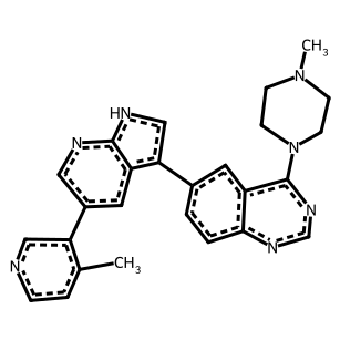 Cc1ccncc1-c1cnc2[nH]cc(-c3ccc4ncnc(N5CCN(C)CC5)c4c3)c2c1